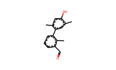 Cc1cc(-c2cccc(C=O)c2C)c(C)cc1O